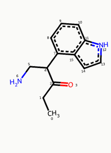 CCC(=O)C(CN)c1cccc2[nH]ccc12